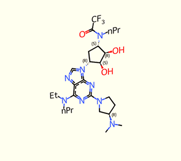 CCCN(CC)c1nc(N2CC[C@@H](N(C)C)C2)nc2c1ncn2[C@@H]1C[C@H](N(CCC)C(=O)C(F)(F)F)[C@@H](O)[C@H]1O